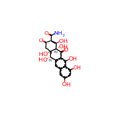 NC(=O)C1=C(O)[C@@]2(O)C(=O)c3c(cc4cc(O)cc(O)c4c3O)[C@H](O)[C@@]2(O)CC1=O